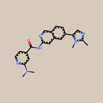 Cc1ncc(-c2ccc3cnc(NC(=O)c4ccnc(N(C)C)c4)cc3c2)n1C